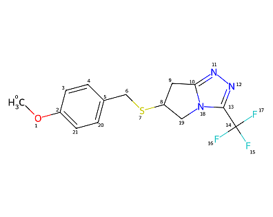 COc1ccc(CSC2Cc3nnc(C(F)(F)F)n3C2)cc1